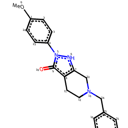 COc1ccc(-n2[nH]c3c(c2=O)CCN(Cc2cccc(Cl)c2)C3)cc1